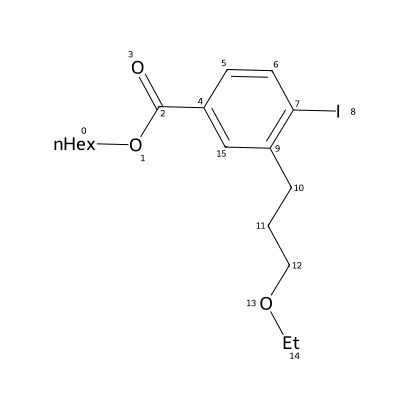 CCCCCCOC(=O)c1ccc(I)c(CCCOCC)c1